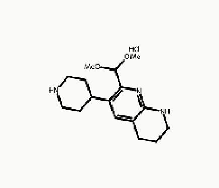 COC(OC)c1nc2c(cc1C1CCNCC1)CCCN2.Cl